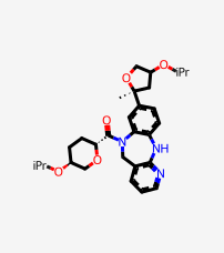 CC(C)OC1CO[C@](C)(c2ccc3c(c2)N(C(=O)[C@H]2CC[C@H](OC(C)C)CO2)Cc2cccnc2N3)C1